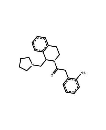 Nc1ccccc1CC(=O)N1CCc2ccccc2C1CN1CCCC1